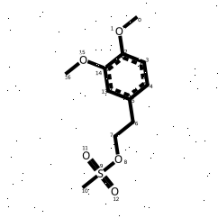 COc1ccc(CCOS(C)(=O)=O)cc1OC